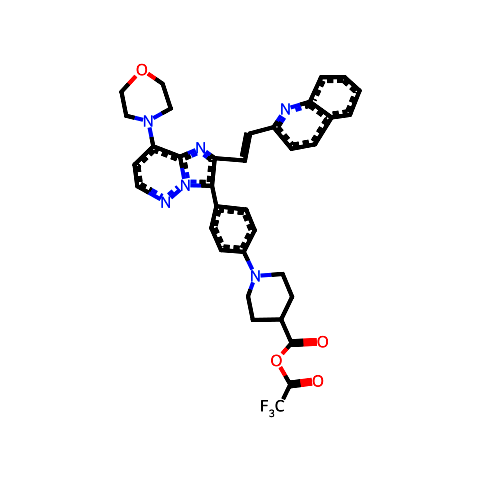 O=C(OC(=O)C(F)(F)F)C1CCN(c2ccc(-c3c(/C=C/c4ccc5ccccc5n4)nc4c(N5CCOCC5)ccnn34)cc2)CC1